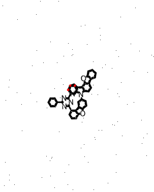 c1ccc(-c2nc(-c3ccccc3)nc(-c3cccc4oc5ccc(-n6c7ccc8c9ccccc9oc8c7c7cccnc76)cc5c34)n2)cc1